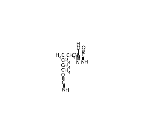 C.C.C.C.C.C.N#CO.N=C=O.N=C=O